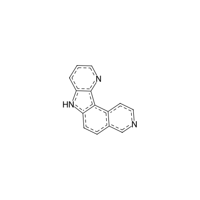 c1cnc2c(c1)[nH]c1ccc3cnccc3c12